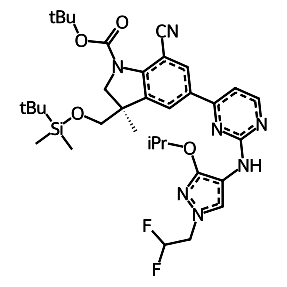 CC(C)Oc1nn(CC(F)F)cc1Nc1nccc(-c2cc(C#N)c3c(c2)[C@@](C)(CO[Si](C)(C)C(C)(C)C)CN3C(=O)OC(C)(C)C)n1